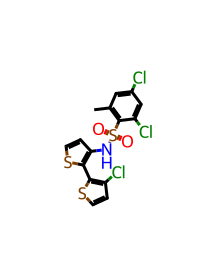 Cc1cc(Cl)cc(Cl)c1S(=O)(=O)Nc1ccsc1-c1sccc1Cl